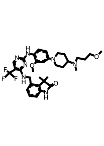 COCCCN(C)C1CCN(c2ccc(Nc3ncc(C(F)(F)F)c(NCc4cccc5c4C(C)(C)C(=O)N5)n3)c(OC)c2)CC1